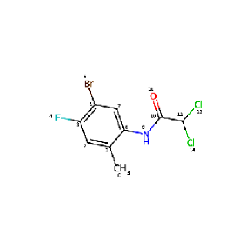 Cc1cc(F)c(Br)cc1NC(=O)C(Cl)Cl